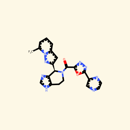 O=C(c1nnc(-c2cnccn2)o1)N1CCc2[nH]cnc2[C@H]1c1cc2cccc(C(F)(F)F)n2n1